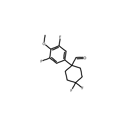 COc1c(F)cc(C2(C=O)CCC(F)(F)CC2)cc1F